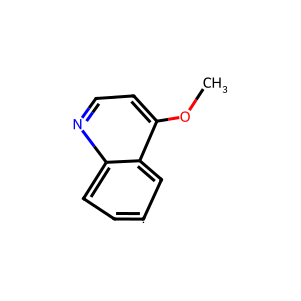 COc1ccnc2cc[c]cc12